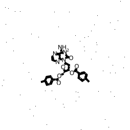 Cc1ccc(C(=O)OC[C@H]2O[C@@H](n3c(=O)nc(N)c4nccnc43)C[C@@H]2OC(=O)c2ccc(C)cc2)cc1